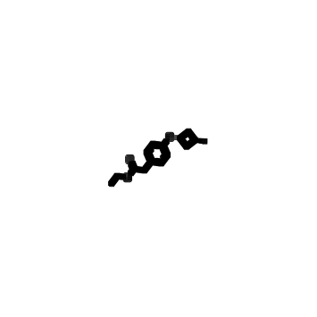 CCOC(=O)Cc1ccc(O[C@H]2C[C@H](C)C2)cc1